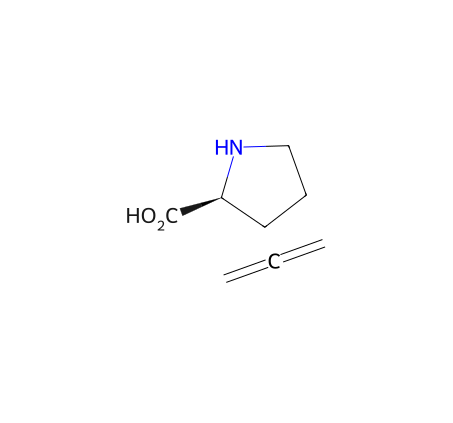 C=C=C.O=C(O)[C@@H]1CCCN1